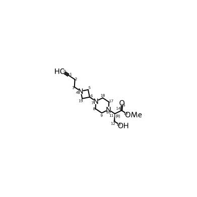 C#CCCN1CC(N2CCN([C@H](CO)C(=O)OC)CC2)C1